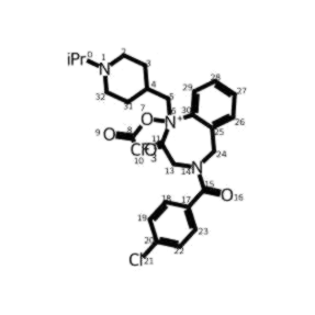 CC(C)N1CCC(C[N+]2(OC(=O)C(F)(F)F)C(=O)CN(C(=O)c3ccc(Cl)cc3)Cc3ccccc32)CC1